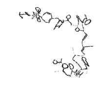 CC(=O)O[C@@H](C)/C=C\C(=O)N[C@@H]1C[C@H](C)[C@H](C/C=C(C)/C=C/[C@@H]2C[C@]3(CO3)C[C@@H](CC(=O)NCc3ccc(S(N)(=O)=O)cc3)O2)O[C@@H]1C